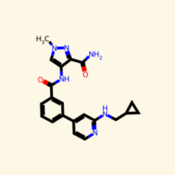 Cn1cc(NC(=O)c2cccc(-c3ccnc(NCC4CC4)c3)c2)c(C(N)=O)n1